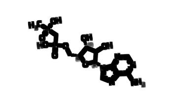 CP(=O)(O)CP(=O)(O)OC[C@H]1O[C@@H](n2cnc3c(N)ncnc32)C(O)[C@H]1O